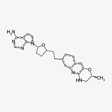 C[C@H]1CNc2nc3cc(CCC4CCC(n5ccc6c(N)ncnc65)O4)ccc3cc2O1